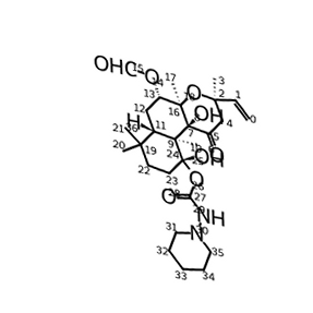 C=C[C@@]1(C)CC(=O)[C@]2(O)[C@]3(C)[C@@H](C[C@H](OC=O)[C@@]2(C)O1)C(C)(C)CC[C@@]3(O)OC(=O)NN1CCCCC1